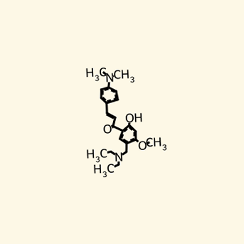 CCN(CC)Cc1cc(C(=O)/C=C/c2ccc(N(C)C)cc2)c(O)cc1OC